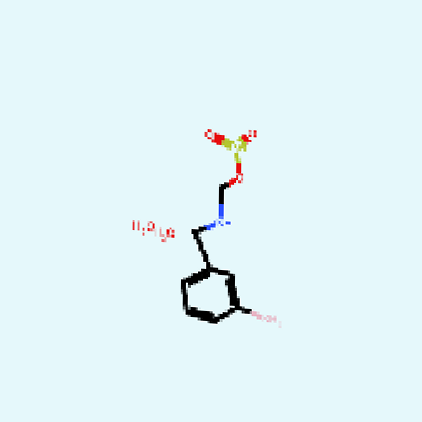 Bc1cccc(CNCO[SH](=O)=O)c1.O.O